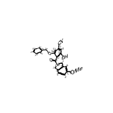 COc1ccc2c(c1)CN(C(=O)c1c(O)cc(C#N)cc1OCc1ccccc1)C2